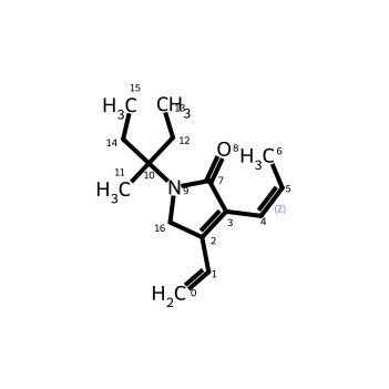 C=CC1=C(/C=C\C)C(=O)N(C(C)(CC)CC)C1